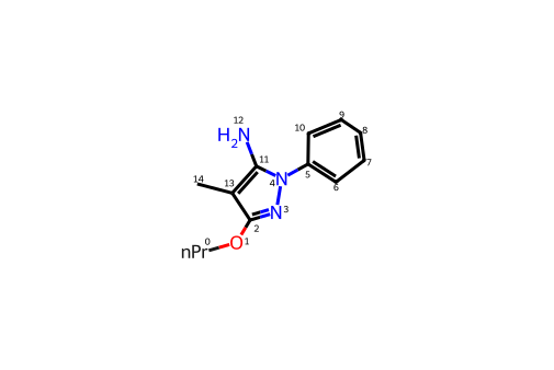 CCCOc1nn(-c2ccccc2)c(N)c1C